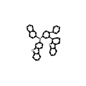 c1ccc(-c2ccc(N(c3ccc4ccccc4c3)c3ccc4c(c3)oc3ccccc34)cc2-c2cccc3c2sc2ccccc23)cc1